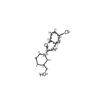 OCC1CCCN(c2nc3nc(Cl)ccc3o2)C1